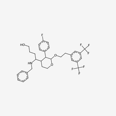 OCCCC(NCc1ccccc1)C1CCOC(OCCc2cc(C(F)(F)F)cc(C(F)(F)F)c2)C1c1ccc(F)cc1